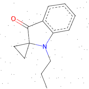 CCCN1c2ccccc2C(=O)C12CC2